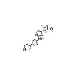 COc1nc(C)c(-c2ccnc(Nc3ccc(N4CCN(C)CC4)cn3)n2)s1